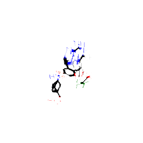 O=C(O)C(F)(F)F.[2H]C([2H])([2H])c1ccc(S(=O)(=O)NC23CCC(CO)(C2)C3)cc1-c1cnc2c(N)nc(C(F)(F)F)cn12